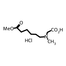 COC(=O)CCCCCN(C)CC(=O)O.Cl